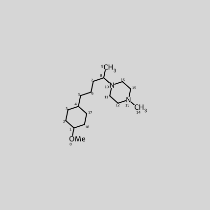 COC1CCC(CCCC(C)N2CCN(C)CC2)CC1